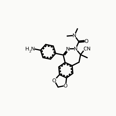 CN(C)C(=O)N1N=C(c2ccc(N)cc2)c2cc3c(cc2CC1(C)C#N)OCO3